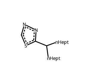 CCCCCCCC(CCCCCCC)c1nncs1